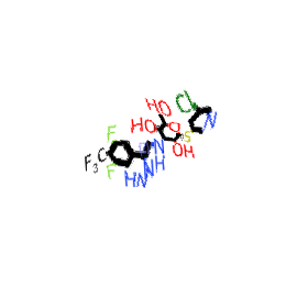 N=N/C(=C\NC1C(O)[C@@H](Sc2cncc(Cl)c2)OC(CO)[C@@H]1O)c1cc(F)c(C(F)(F)F)c(F)c1